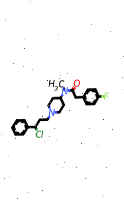 CN(C(=O)Cc1ccc(F)cc1)C1CCN(CCC(Cl)c2ccccc2)CC1